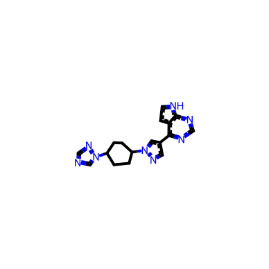 c1nc(-c2cnn(C3CCC(n4cncn4)CC3)c2)c2cc[nH]c2n1